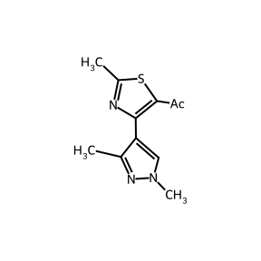 CC(=O)c1sc(C)nc1-c1cn(C)nc1C